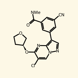 CNC(=O)c1cc(C#N)cc(-c2cnn3cc(Cl)c(O[C@H]4CCOC4)nc23)c1